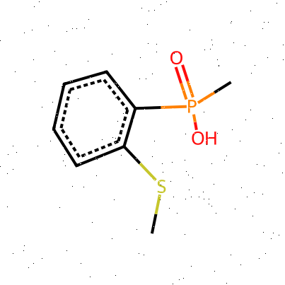 CSc1ccccc1P(C)(=O)O